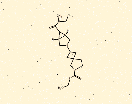 CCOC(=O)N1CCC2(CC(N3C[C@@H]4C(C(=O)N(C)CC)[C@@H]4C3)C2)C1